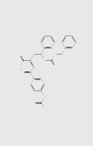 COC(=O)Nc1ccc(-c2cc(CC(NC(=O)OCc3ccccc3)c3ccccc3)c(=O)[nH]n2)cc1